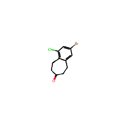 O=C1CCc2cc(Br)cc(Cl)c2CC1